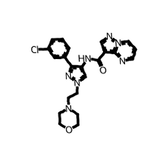 O=C(Nc1cn(CCN2CCOCC2)nc1-c1cccc(Cl)c1)c1cnn2cccnc12